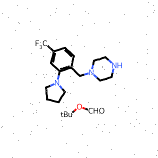 CC(C)(C)OC=O.FC(F)(F)c1ccc(CN2CCNCC2)c(N2CCCC2)c1